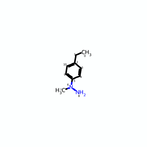 CCc1ccc(N(C)N)cc1